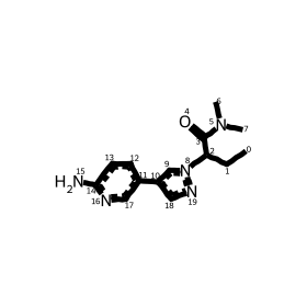 CCC(C(=O)N(C)C)n1cc(-c2ccc(N)nc2)cn1